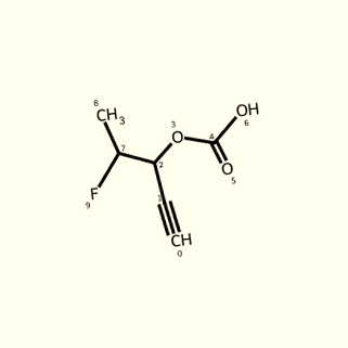 C#CC(OC(=O)O)C(C)F